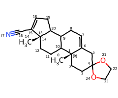 C[C@]12CCC3(CC1=CCC1C2CC[C@]2(C)C(C#N)=CCC12)OCCO3